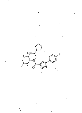 CC(C)CC1C(=O)NC(C2CCCC2)CN1C(=O)c1cc(-c2ccc(F)cc2)no1